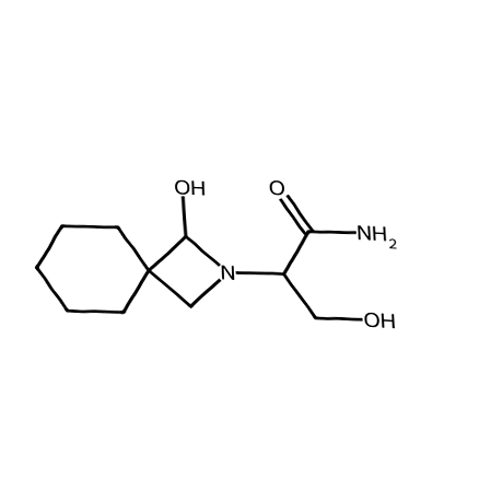 NC(=O)C(CO)N1CC2(CCCCC2)C1O